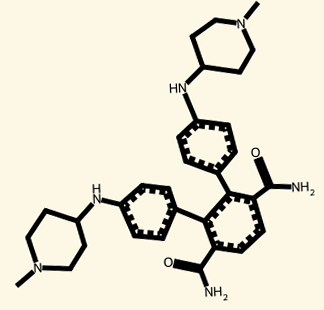 CN1CCC(Nc2ccc(-c3c(C(N)=O)ccc(C(N)=O)c3-c3ccc(NC4CCN(C)CC4)cc3)cc2)CC1